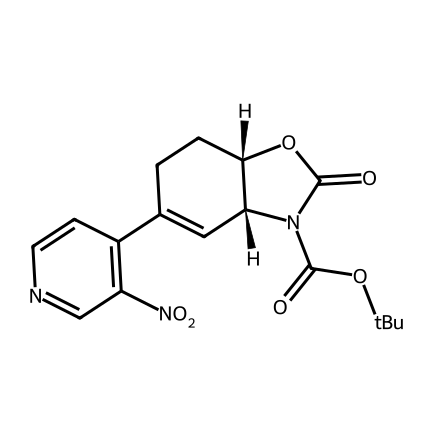 CC(C)(C)OC(=O)N1C(=O)O[C@H]2CCC(c3ccncc3[N+](=O)[O-])=C[C@H]21